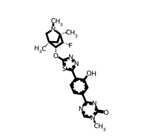 CN1C[C@@]2(C)C[C@]1(C)[C@H](F)[C@@H]2Oc1nnc(-c2ccc(-c3ncn(C)c(=O)n3)cc2O)s1